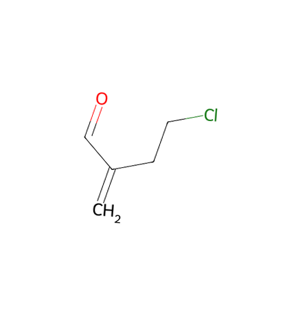 C=C(C=O)CCCl